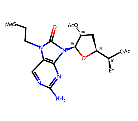 CC[C@H](OC(C)=O)[C@@H]1C[C@@H](OC(C)=O)[C@H](n2c(=O)n(CCSC)c3cnc(N)nc32)O1